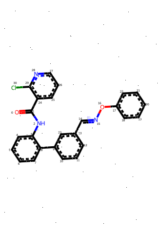 O=C(Nc1ccccc1-c1cccc(/C=N/Oc2ccccc2)c1)c1cccnc1Cl